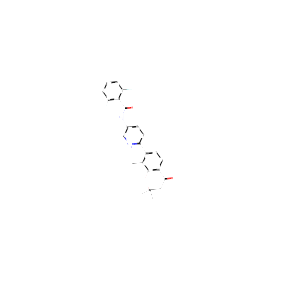 Cc1c(-c2ccc(NC(=O)c3c(F)cccc3F)cn2)ccc2c1OC(C)(C)CC2=O